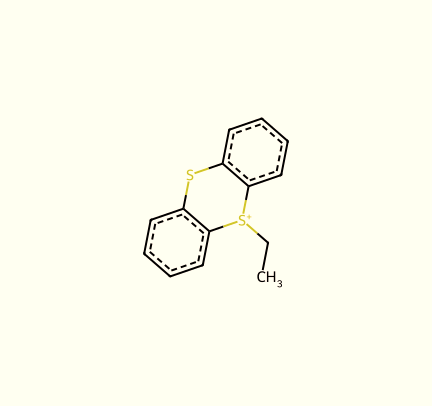 CC[S+]1c2ccccc2Sc2ccccc21